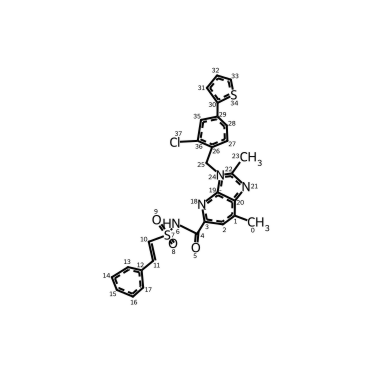 Cc1cc(C(=O)NS(=O)(=O)/C=C/c2ccccc2)nc2c1nc(C)n2Cc1ccc(-c2cccs2)cc1Cl